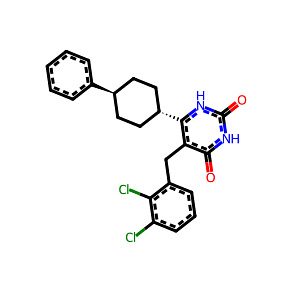 O=c1[nH]c(=O)c(Cc2cccc(Cl)c2Cl)c([C@H]2CC[C@H](c3ccccc3)CC2)[nH]1